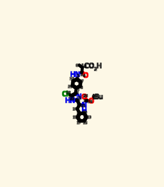 C[C@H](C(=O)O)C(=O)Nc1ccc(-c2nc(C(Cc3ccccc3)NC(=O)OC(C)(C)C)[nH]c2Cl)cc1